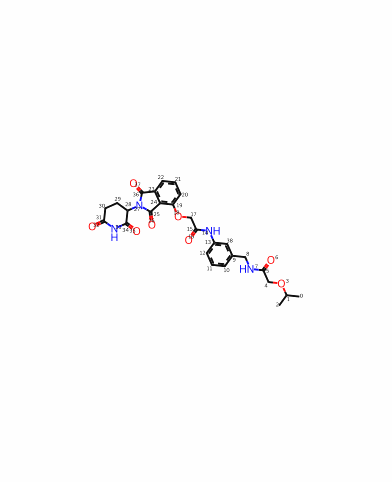 CC(C)OCC(=O)NCc1cccc(NC(=O)COc2cccc3c2C(=O)N(C2CCC(=O)NC2=O)C3=O)c1